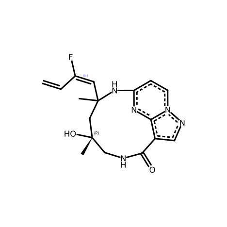 C=C/C(F)=C\C1(C)C[C@@](C)(O)CNC(=O)c2cnn3ccc(nc23)N1